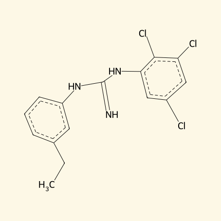 CCc1cccc(NC(=N)Nc2cc(Cl)cc(Cl)c2Cl)c1